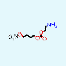 NCCOC(=O)OCCCCO[N+](=O)[O-]